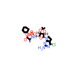 C[C@H](N[P@](=O)(OC[C@H]1O[C@@H](n2ccc3c(Cl)nc(N)nc32)[C@@H]2OC(C)(C)O[C@@H]21)Oc1ccccc1)C(=O)O